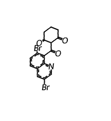 O=C1CCCC(=O)C1C(=O)c1c(Br)ccc2cc(Br)cnc12